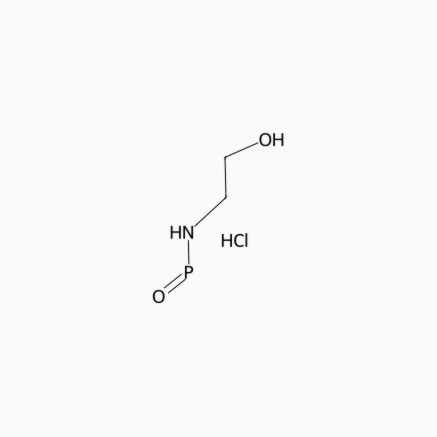 Cl.O=PNCCO